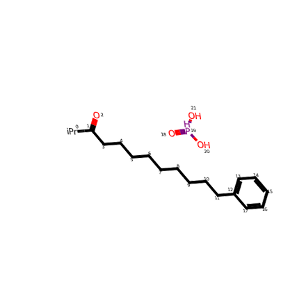 CC(C)C(=O)CCCCCCCCCc1ccccc1.O=[PH](O)O